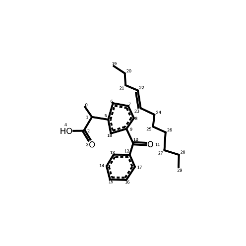 CC(C(=O)O)c1cccc(C(=O)c2ccccc2)c1.CCCC=CCCCCCC